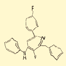 Fc1ccc(-c2cc(Nc3ccccc3)c(F)c(-c3ccccc3)n2)cc1